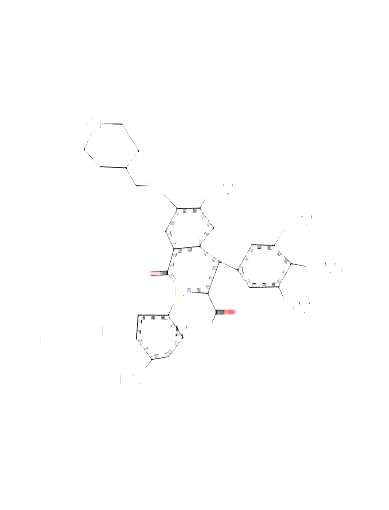 COC(=O)c1c(-c2cc(OC)c(OC)c(OC)c2)c2cc(OC)c(OCC3CCNCC3)cc2c(=O)n1-c1ccc(N)cc1.Cl.Cl